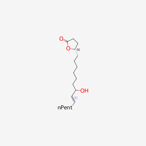 CCCCC/C=C/C(O)CCCCCC[C@H]1CCC(=O)O1